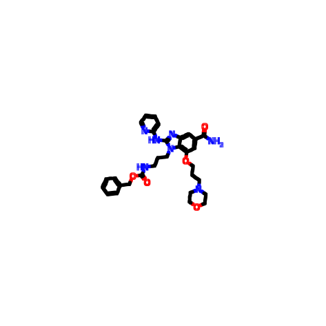 NC(=O)c1cc(OCCCN2CCOCC2)c2c(c1)nc(Nc1ccccn1)n2CCCNC(=O)OCc1ccccc1